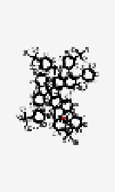 CC(C)(C)c1ccc(N(c2ccc(C(C)(C)C)cc2)c2cc3c(c4cc5oc6ccccc6c5cc24)-c2c(cc(N(c4ccc(C(C)(C)C)cc4)c4ccc(C(C)(C)C)cc4)c4c2ccc2c5ccccc5oc24)C32c3ccccc3-c3ccccc32)cc1